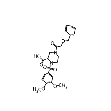 COc1ccc(S(=O)(=O)N2CCN(C(=O)COCc3ccccc3)CC2C(=O)O)cc1OC